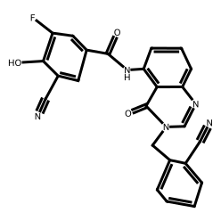 N#Cc1ccccc1Cn1cnc2cccc(NC(=O)c3cc(F)c(O)c(C#N)c3)c2c1=O